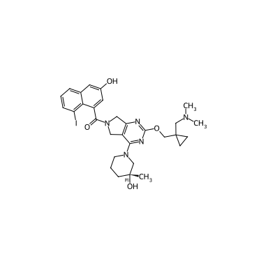 CN(C)CC1(COc2nc3c(c(N4CCC[C@@](C)(O)C4)n2)CN(C(=O)c2cc(O)cc4cccc(I)c24)C3)CC1